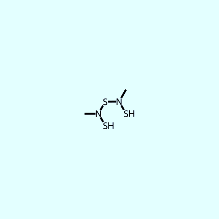 CN(S)SN(C)S